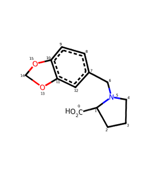 O=C(O)C1CCCN1Cc1ccc2c(c1)OCO2